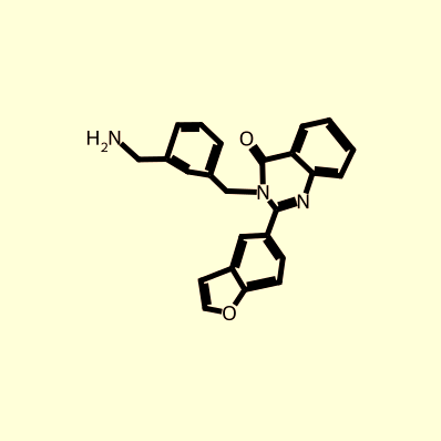 NCc1cccc(Cn2c(-c3ccc4occc4c3)nc3ccccc3c2=O)c1